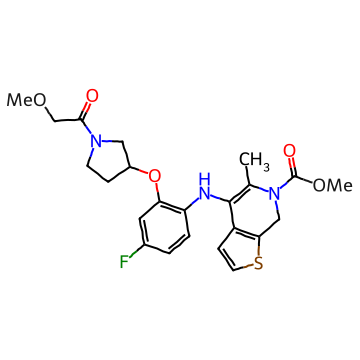 COCC(=O)N1CCC(Oc2cc(F)ccc2NC2=C(C)N(C(=O)OC)Cc3sccc32)C1